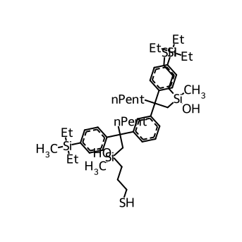 CCCCCC(C[Si](C)(O)CCCS)(c1ccc([Si](C)(CC)CC)cc1)c1cccc(C(CCCCC)(C[Si](C)(O)CCCS)c2ccc([Si](CC)(CC)CC)cc2)c1